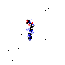 CN1CCN(c2cc(Nc3ncc4c(-c5ccn6ncc(C(=O)NC7CCOCC7)c6c5)c[nH]c4n3)ccn2)CC1